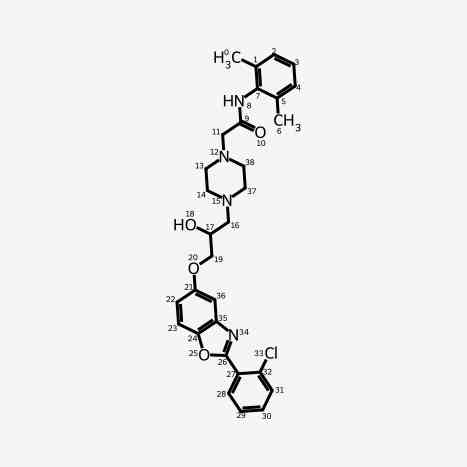 Cc1cccc(C)c1NC(=O)CN1CCN(CC(O)COc2ccc3oc(-c4ccccc4Cl)nc3c2)CC1